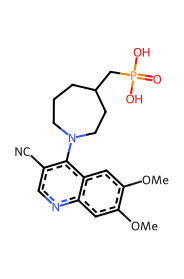 COc1cc2ncc(C#N)c(N3CCCC(CP(=O)(O)O)CC3)c2cc1OC